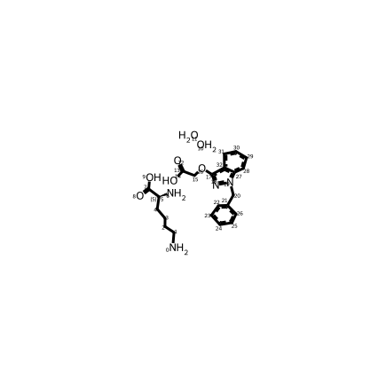 NCCCC[C@H](N)C(=O)O.O.O.O=C(O)COc1nn(Cc2ccccc2)c2ccccc12